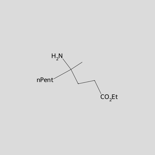 CCCCCC(C)(N)CCC(=O)OCC